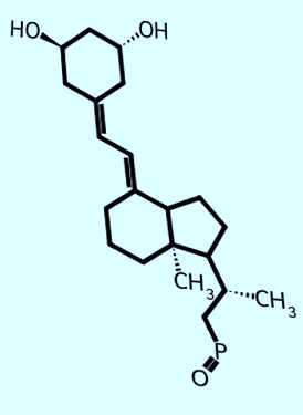 C[C@H](CP=O)C1CCC2/C(=C/C=C3C[C@@H](O)C[C@H](O)C3)CCC[C@@]21C